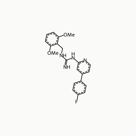 COc1cccc(OC)c1CNC(=N)Nc1cc(-c2ccc(F)cc2)ccn1